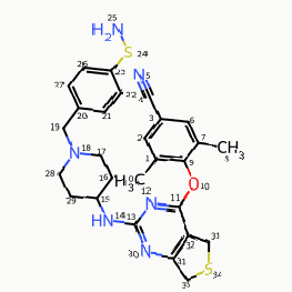 Cc1cc(C#N)cc(C)c1Oc1nc(NC2CCN(Cc3ccc(SN)cc3)CC2)nc2c1CSC2